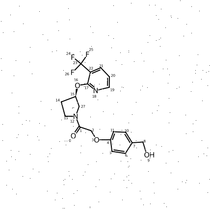 O=C(COc1ccc(CO)cc1)N1CC[C@@H](Oc2ncccc2C(F)(F)F)C1